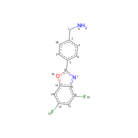 NCc1ccc(-c2nc3c(F)cc(F)cc3o2)cc1